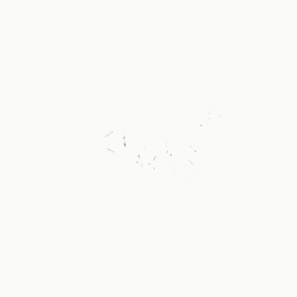 C[C@H](Nc1nnc(-c2ccccc2)o1)C(=O)N1CCC2(CC1)C[C@@H]2F